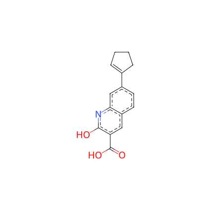 O=C(O)c1cc2ccc(C3=CCCC3)cc2nc1O